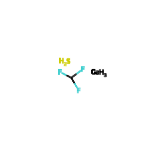 FC(F)F.S.[GaH3]